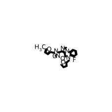 Cc1ccc(-c2nc(-c3ncn4c3c(=O)n(CC3CCCO3)c3c(F)cccc34)no2)o1